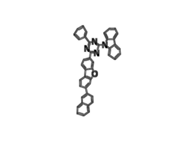 c1ccc(-c2nc(-c3ccc4c(c3)oc3cc(-c5ccc6ccccc6c5)ccc34)nc(-n3c4ccccc4c4ccccc43)n2)cc1